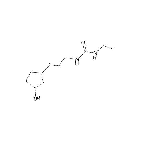 CCNC(=O)NCC[CH]C1CCC(O)C1